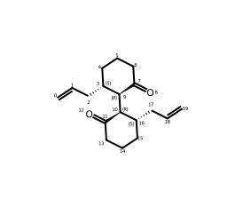 C=CC[C@@H]1CCCC(=O)[C@H]1[C@@H]1C(=O)CCC[C@H]1CC=C